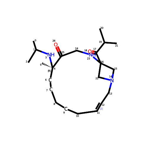 CC(C)N[C@]1(C)CCCCC/C=C\CN2CC(C(=O)C(C)C)(C2)NCC1=O